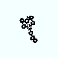 c1ccc(-c2cccc(-c3nc(-c4ccc(-c5ccc6ccccc6c5)cc4)nc(-c4cccc(-c5cccc6sc7ccccc7c56)c4)n3)c2)cc1